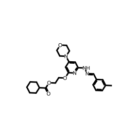 Cc1cccc(/C=N/Nc2cc(N3CCOCC3)cc(OCCOC(=O)C3CCCCC3)n2)c1